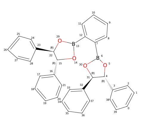 c1ccc([C@H]2OB(c3ccccc3B3O[C@H](c4ccccc4)[C@@H](c4ccccc4)O3)O[C@@H]2c2ccccc2)cc1